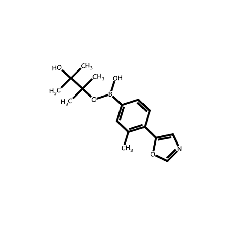 Cc1cc(B(O)OC(C)(C)C(C)(C)O)ccc1-c1cnco1